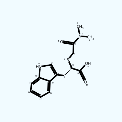 CN(C)C(=O)CS[C@@H](Cc1c[nH]c2ccccc12)C(=O)O